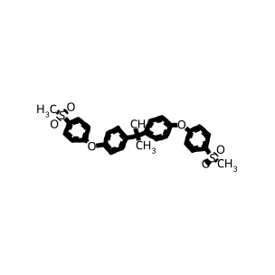 CC(C)(c1ccc(Oc2ccc(S(C)(=O)=O)cc2)cc1)c1ccc(Oc2ccc(S(C)(=O)=O)cc2)cc1